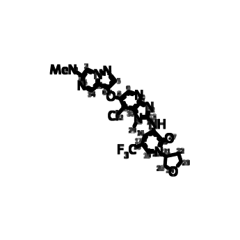 CNc1cn2ncc(Oc3cnc4nc(Nc5cc(C(F)(F)F)cn(C6CCOC6)c5=O)n(C)c4c3Cl)c2cn1